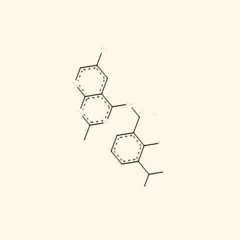 Cc1nc(N[C@H](C)c2cccc(C(F)F)c2F)c2cc(N)cnc2n1